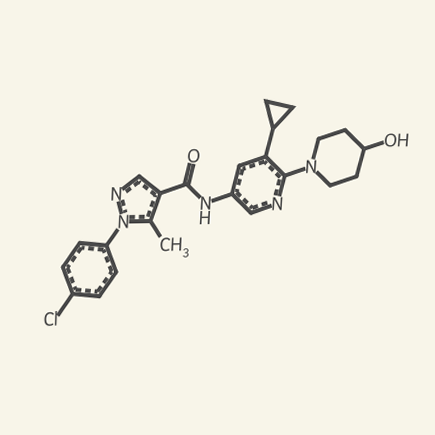 Cc1c(C(=O)Nc2cnc(N3CCC(O)CC3)c(C3CC3)c2)cnn1-c1ccc(Cl)cc1